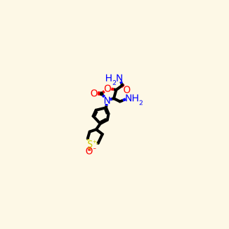 NCC1C(C(N)=O)OC(=O)N1c1ccc(C2CC[S+]([O-])CC2)cc1